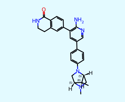 C[C@@H]1[C@H]2CN(c3ccc(-c4cnc(N)c(-c5ccc6c(c5)CCNC6=O)c4)cc3)[C@@H]1CN2C